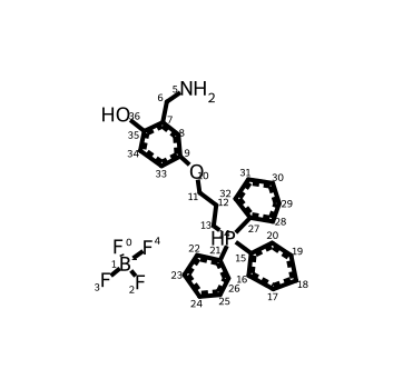 F[B-](F)(F)F.NCc1cc(OCCC[PH](c2ccccc2)(c2ccccc2)c2ccccc2)ccc1O